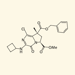 COC(=O)[C@@H]1C[C@@](C)(C(=O)OCc2ccccc2)c2c(Cl)nc(NC3CCC3)c(=O)n21